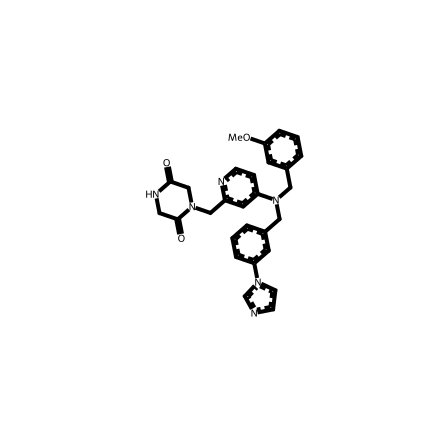 COc1cccc(CN(Cc2cccc(-n3ccnc3)c2)c2ccnc(CN3CC(=O)NCC3=O)c2)c1